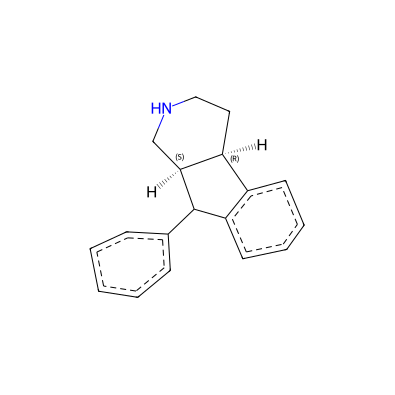 c1ccc(C2c3ccccc3[C@@H]3CCNC[C@H]23)cc1